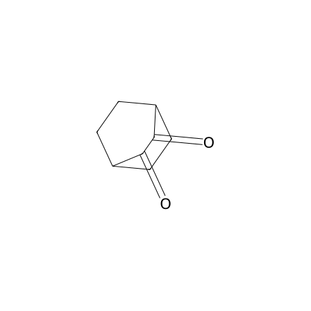 O=C1C(=O)C2CCC1CC2